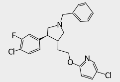 Fc1cc([C@H]2CN(Cc3ccccc3)CC2CCOc2ccc(Cl)cn2)ccc1Cl